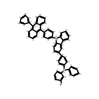 Fc1cccc(N(c2ccccc2)c2ccc(-c3ccc4c(c3)c3ccccc3n4-c3ccc(-c4c5ccccc5c(-c5ccccc5)c5ccccc45)cc3)cc2)c1